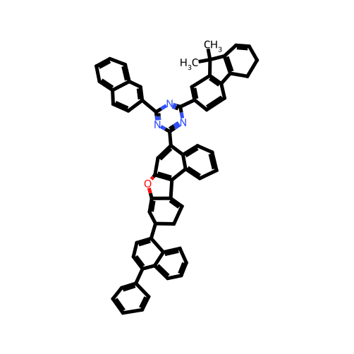 CC1(C)C2=C(CCC=C2)c2ccc(-c3nc(-c4ccc5ccccc5c4)nc(-c4cc5oc6c(c5c5ccccc45)=CCC(c4ccc(-c5ccccc5)c5ccccc45)C=6)n3)cc21